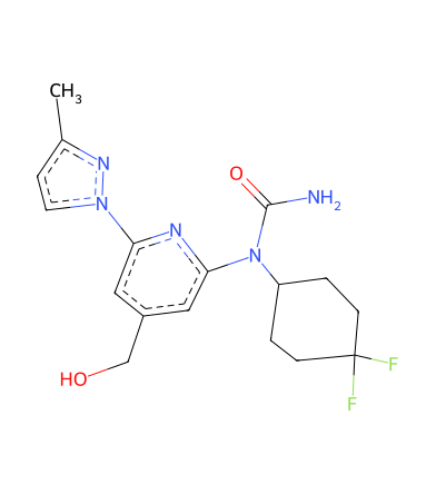 Cc1ccn(-c2cc(CO)cc(N(C(N)=O)C3CCC(F)(F)CC3)n2)n1